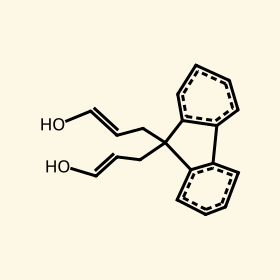 OC=CCC1(CC=CO)c2ccccc2-c2ccccc21